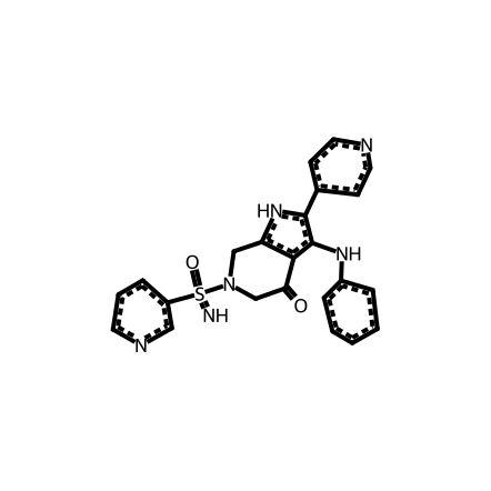 N=S(=O)(c1cccnc1)N1CC(=O)c2c([nH]c(-c3ccncc3)c2Nc2ccccc2)C1